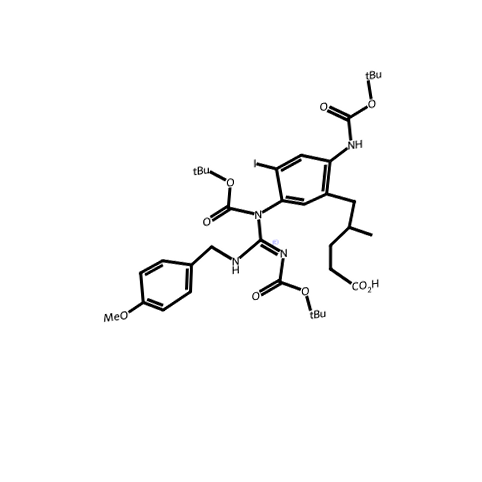 COc1ccc(CN/C(=N\C(=O)OC(C)(C)C)N(C(=O)OC(C)(C)C)c2cc(CC(C)CCC(=O)O)c(NC(=O)OC(C)(C)C)cc2I)cc1